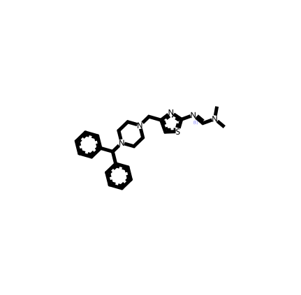 CN(C)/C=N/c1nc(CN2CCN(C(c3ccccc3)c3ccccc3)CC2)cs1